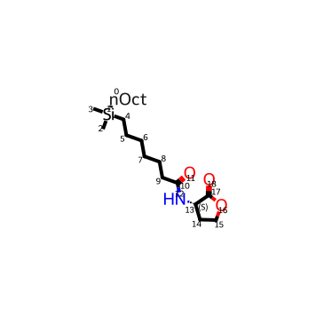 CCCCCCCC[Si](C)(C)CCCCCCC(=O)N[C@H]1CCOC1=O